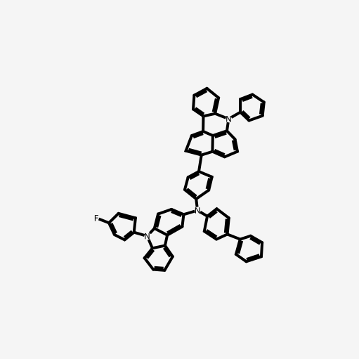 Fc1ccc(-n2c3ccccc3c3cc(N(c4ccc(-c5ccccc5)cc4)c4ccc(-c5ccc6c7c(cccc57)N(c5ccccc5)c5ccccc5-6)cc4)ccc32)cc1